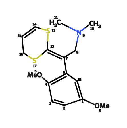 COc1ccc(OC)c(C(CN(C)C)=C2SC=CCS2)c1